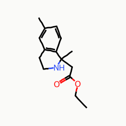 CCOC(=O)CC1(C)NCCc2cc(C)ccc21